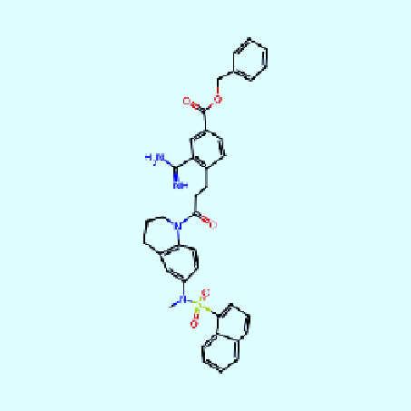 CN(c1ccc2c(c1)CCCN2C(=O)CCc1ccc(C(=O)OCc2ccccc2)cc1C(=N)N)S(=O)(=O)c1cccc2ccccc12